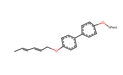 CC=CC=CCOc1ccc(-c2ccc(OCCCCC)cc2)cc1